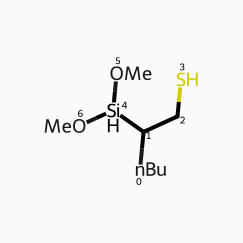 CCCCC(CS)[SiH](OC)OC